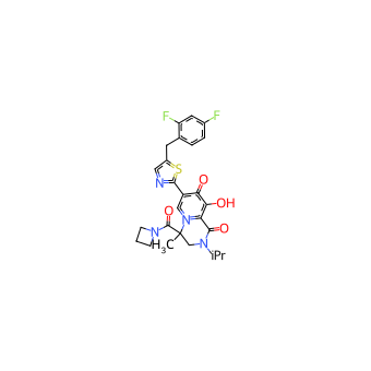 CC(C)N1CC(C)(C(=O)N2CCC2)n2cc(-c3ncc(Cc4ccc(F)cc4F)s3)c(=O)c(O)c2C1=O